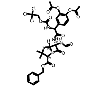 CC(=O)Oc1ccc(C(NC(=O)OCC(Cl)(Cl)Cl)C(=O)N[C@]2(NC=O)C(=O)N3[C@@H](C(=O)OCc4ccccc4)C(C)(C)S[C@@H]32)cc1OC(C)=O